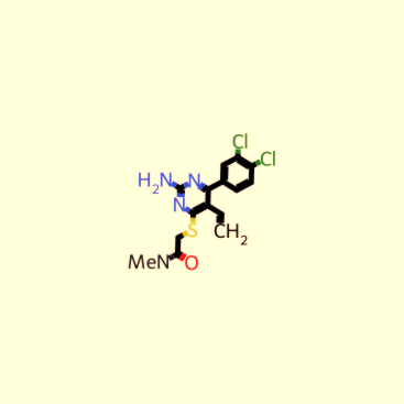 C=Cc1c(SCC(=O)NC)nc(N)nc1-c1ccc(Cl)c(Cl)c1